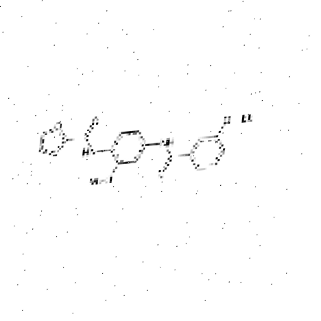 CCOc1cccc(C(=O)Nc2ccc(NC(=O)c3ccco3)c(OC)c2)c1